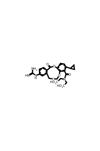 N=C(N)Nc1ccc2c(c1)CCCOc1c(ccc(C3CC3)c1C(=O)N(CC(=O)O)CC(=O)O)OC2=O